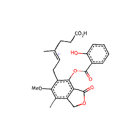 COc1c(C)c2c(c(OC(=O)c3ccccc3O)c1C/C=C(\C)CCC(=O)O)C(=O)OC2